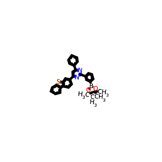 CC1(C)OB(c2cccc(-c3nc(-c4ccccc4)cc(-c4ccc5c(c4)sc4ccccc45)n3)c2)OC1(C)C